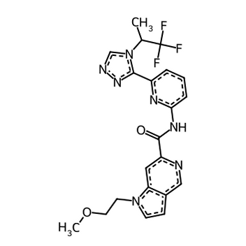 COCCn1ccc2cnc(C(=O)Nc3cccc(-c4nncn4C(C)C(F)(F)F)n3)cc21